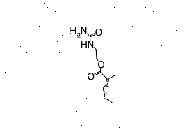 CC=C=C(C)C(=O)OCCNC(N)=O